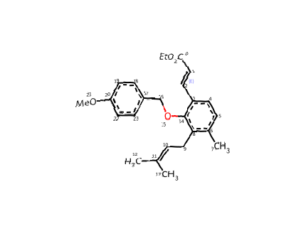 CCOC(=O)/C=C/c1ccc(C)c(CC=C(C)C)c1OCc1ccc(OC)cc1